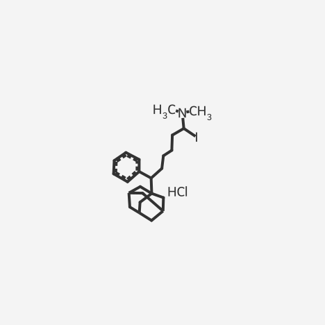 CN(C)C(I)CCCCC(c1ccccc1)C12CC3CC(CC(C3)C1)C2.Cl